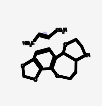 O=C(O)/C=C/C(=O)O.c1cc2c(c3c1OCO3)OCCC1NCCOC21